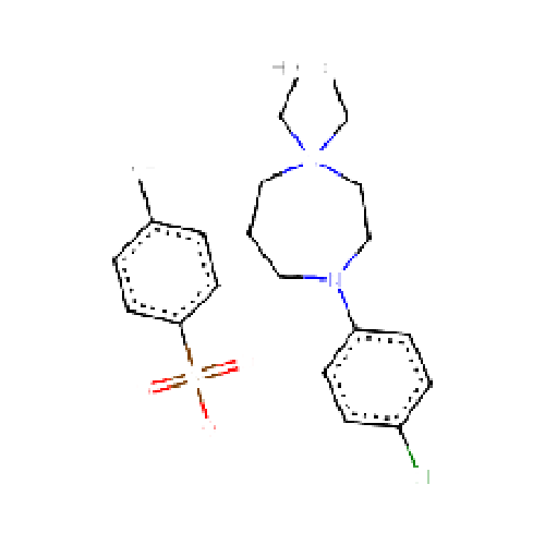 CC[N+]1(CC)CCCN(c2ccc(Cl)cc2)CC1.Cc1ccc(S(=O)(=O)[O-])cc1